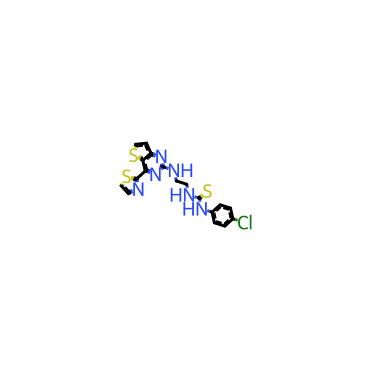 S=C(NCCNc1nc(-c2nccs2)c2sccc2n1)Nc1ccc(Cl)cc1